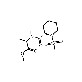 COC(=O)C(C)NC(=O)[C@@H]1CCCCN1S(C)(=O)=O